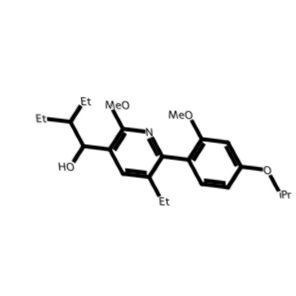 CCc1cc(C(O)C(CC)CC)c(OC)nc1-c1ccc(OC(C)C)cc1OC